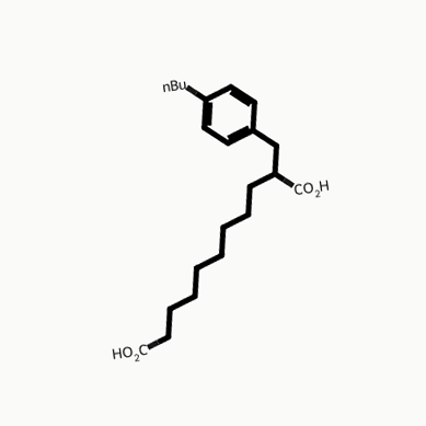 CCCCc1ccc(CC(CCCCCCCCC(=O)O)C(=O)O)cc1